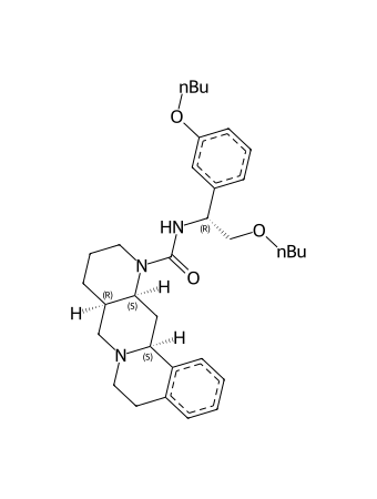 CCCCOC[C@H](NC(=O)N1CCC[C@@H]2CN3CCc4ccccc4[C@@H]3C[C@@H]21)c1cccc(OCCCC)c1